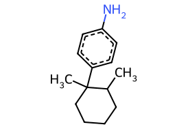 CC1CCCCC1(C)c1ccc(N)cc1